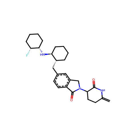 C=C1CCC(N2Cc3cc(C[C@H]4CCCC[C@@H]4N[C@H]4CCCC[C@H]4F)ccc3C2=O)C(=O)N1